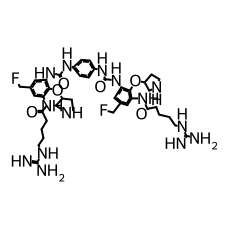 N=C(N)NCCCCC(=O)Nc1cc(CF)cc(NC(=O)Nc2ccc(NC(=O)Nc3cc(CF)cc(NC(=O)CCCCNC(=N)N)c3OC3CCNC3)cc2)c1OC1CCNC1